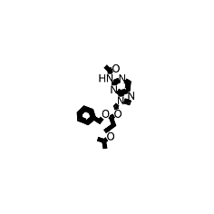 CC(=O)Nc1ncc2ncn(COC(CCOC(C)C)OCc3ccccc3)c2n1